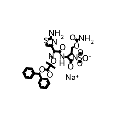 CC(C)(ON=C(C(=O)NC1C(=O)N(S(=O)(=O)[O-])C1COC(N)=O)c1csc(N)n1)C(=O)OC(c1ccccc1)c1ccccc1.[Na+]